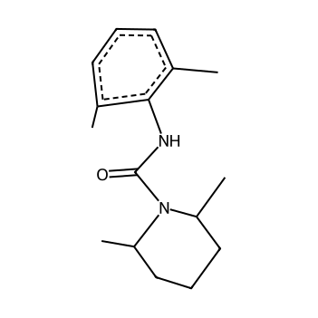 Cc1cccc(C)c1NC(=O)N1C(C)CCCC1C